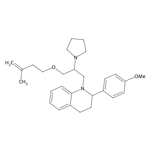 C=C(C)CCOCC(CN1c2ccccc2CCC1c1ccc(OC)cc1)N1CCCC1